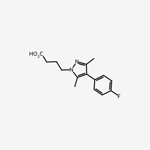 Cc1nn(CCCC(=O)O)c(C)c1-c1ccc(F)cc1